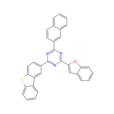 c1ccc2cc(-c3nc(-c4ccc5sc6ccccc6c5c4)nc(-c4cc5ccccc5o4)n3)ccc2c1